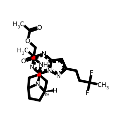 CC(=O)OCC(=O)NC1CC2CC[C@@H](C1)N2c1nc(C)nc2cc(CCC(C)(F)F)nn12